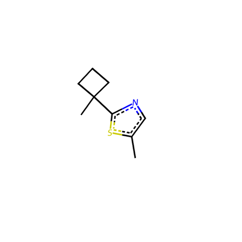 Cc1cnc(C2(C)CCC2)s1